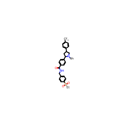 CCS(=O)(=O)c1ccc(CNC(=O)c2ccc(C3CC(c4ccc(C(F)(F)F)cc4)CN3C(C)C)cc2)cc1